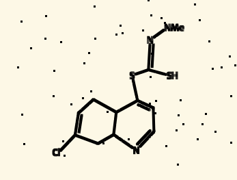 CN/N=C(\S)SC1=CC=NC2CC(Cl)=CCC12